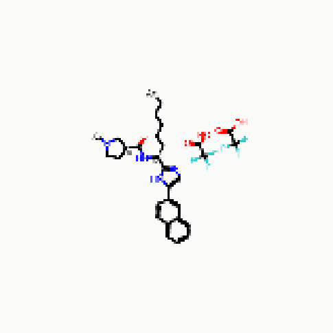 CC(=O)CCCCC[C@H](NC(=O)[C@H]1CCN(C)C1)c1ncc(-c2ccc3ccccc3c2)[nH]1.O=C(O)C(F)(F)F.O=C(O)C(F)(F)F